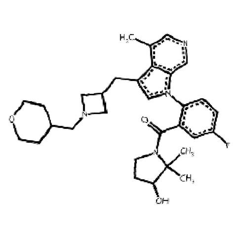 Cc1cncc2c1c(CC1CN(CC3CCOCC3)C1)cn2-c1ccc(F)cc1C(=O)N1CCC(O)C1(C)C